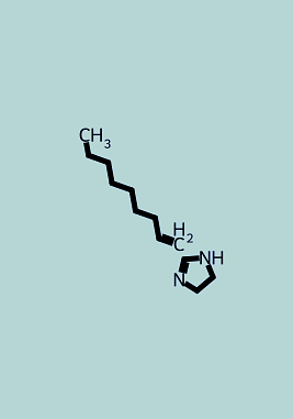 C1=NCCN1.C=CCCCCCCC